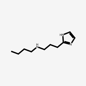 CCCCNCCCc1ncc[nH]1